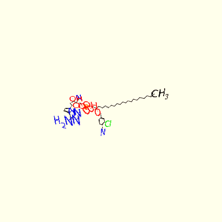 CCCCCCCCCCCCCCCCCCC[C@H](COP(=O)(O)OC[C@@]1(C#N)O[C@@H](c2ccc3c(N)ncnn23)C[C@@H]1O)OCc1ccc(C#N)c(Cl)c1